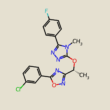 C[C@@H](Oc1nnc(-c2ccc(F)cc2)n1C)c1noc(-c2cccc(Cl)c2)n1